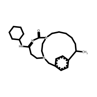 CC1CCCCCN2CCN(CC/C(NC3CCCCC3)=N\C2=O)Cc2ccc1cc2